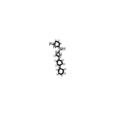 Fc1cccc(Nc2nc(-c3ccc(-c4ccccc4)cc3)cs2)n1